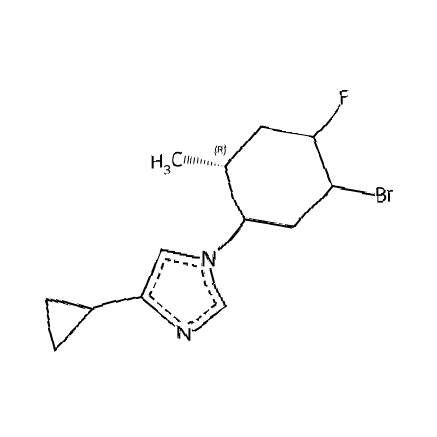 C[C@@H]1CC(F)C(Br)CC1n1cnc(C2CC2)c1